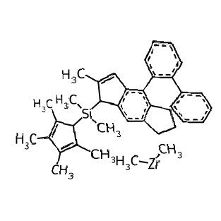 CC1=Cc2c(cc3c(c2-c2ccccc2-c2ccccc2)CCC3)C1[Si](C)(C)C1C(C)=C(C)C(C)=C1C.[CH3][Zr][CH3]